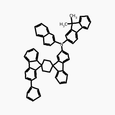 CC1(C)c2ccccc2-c2ccc(N(c3ccc4c(c3)C3(CCC5(CC3)c3ccccc3-c3ccc(-c6ccccc6)cc35)c3ccccc3-4)c3ccc4ccccc4c3)cc21